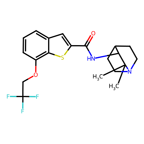 CC1(C)C(NC(=O)c2cc3cccc(OCC(F)(F)F)c3s2)C2CCN1CC2